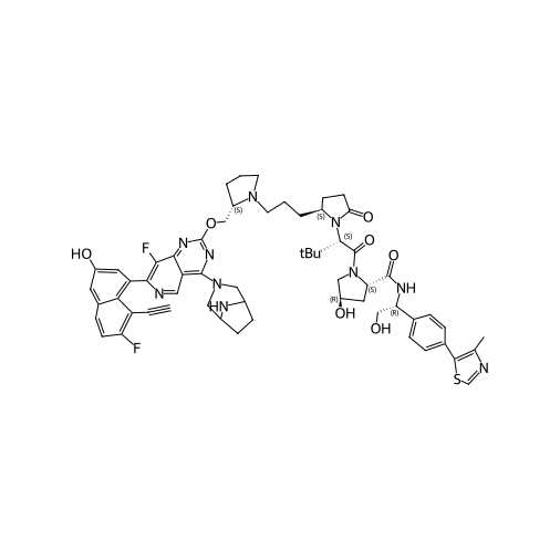 C#Cc1c(F)ccc2cc(O)cc(-c3ncc4c(N5CC6CCC(C5)N6)nc(OC[C@@H]5CCCN5CCC[C@H]5CCC(=O)N5[C@H](C(=O)N5C[C@H](O)C[C@H]5C(=O)N[C@@H](CO)c5ccc(-c6scnc6C)cc5)C(C)(C)C)nc4c3F)c12